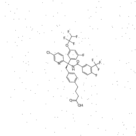 O=C(O)CCCc1ccc(C[C@](NC(=O)c2ccc(F)c(C(F)(F)F)c2)(c2cc(F)cc(OC(F)(F)C(F)F)c2)c2ccc(Cl)cn2)cc1